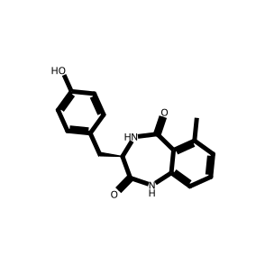 Cc1cccc2c1C(=O)N[C@H](Cc1ccc(O)cc1)C(=O)N2